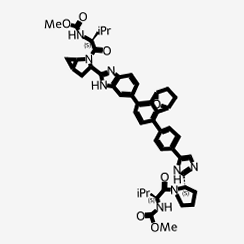 COC(=O)N[C@H](C(=O)N1C(c2nc3ccc(-c4ccc(-c5ccc(-c6cnc([C@@H]7CCCN7C(=O)[C@@H](NC(=O)OC)C(C)C)[nH]6)cc5)c5c4C4CCC5O4)cc3[nH]2)CC2CC21)C(C)C